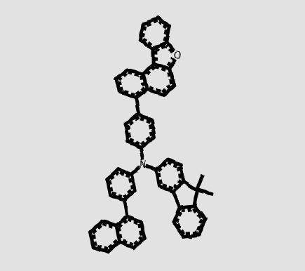 CC1(C)c2ccccc2-c2cc(N(c3ccc(-c4cccc5c4ccc4oc6ccccc6c45)cc3)c3cccc(-c4cccc5ccccc45)c3)ccc21